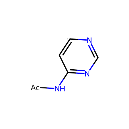 CC(=O)Nc1c[c]ncn1